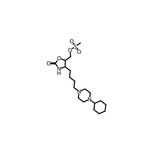 CS(=O)(=O)OCC1OC(=O)NC1CCCCN1CCN(C2CCCCC2)CC1